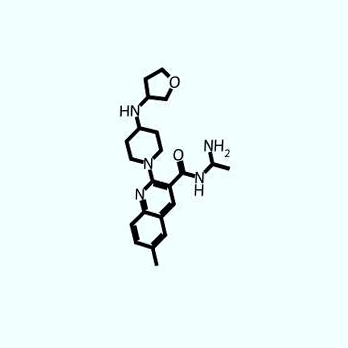 Cc1ccc2nc(N3CCC(NC4CCOC4)CC3)c(C(=O)NC(C)N)cc2c1